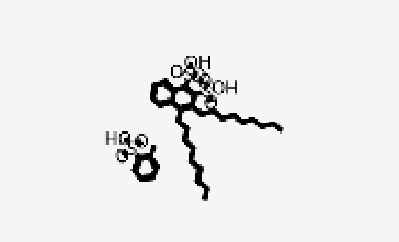 CCCCCCCCCc1c(S(=O)(=O)O)c(S(=O)(=O)O)c2ccccc2c1CCCCCCCCC.Cc1ccccc1S(=O)(=O)O